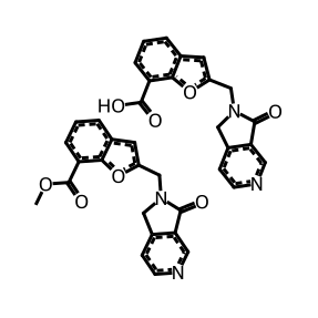 COC(=O)c1cccc2cc(CN3Cc4ccncc4C3=O)oc12.O=C(O)c1cccc2cc(CN3Cc4ccncc4C3=O)oc12